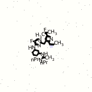 C=C(NC1CCCC(Nc2nc(Cc3cc(C(C)(C)F)cnc3/C=C\C)ncc2F)C1)N(CCC)CCC